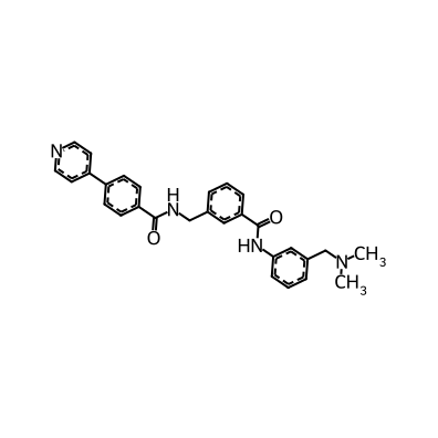 CN(C)Cc1cccc(NC(=O)c2cccc(CNC(=O)c3ccc(-c4ccncc4)cc3)c2)c1